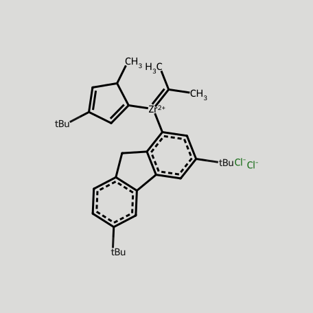 C[C](C)=[Zr+2]([C]1=CC(C(C)(C)C)=CC1C)[c]1cc(C(C)(C)C)cc2c1Cc1ccc(C(C)(C)C)cc1-2.[Cl-].[Cl-]